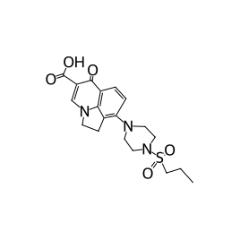 CCCS(=O)(=O)N1CCN(c2ccc3c(=O)c(C(=O)O)cn4c3c2CC4)CC1